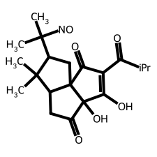 CC(C)C(=O)C1=C(O)C2(O)C(=O)CC3C(C)(C)C(C(C)(C)N=O)CC32C1=O